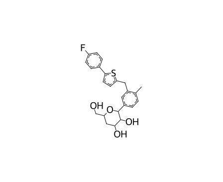 Cc1ccc(C2OC(CO)CC(O)C2O)cc1Cc1ccc(-c2ccc(F)cc2)s1